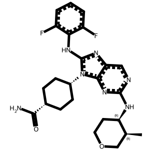 C[C@H]1COCC[C@H]1Nc1ncc2nc(Nc3c(F)cccc3F)n([C@H]3CC[C@@H](C(N)=O)CC3)c2n1